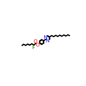 CCCCCCCCCCc1cnc(-c2ccc(OC(=O)C(F)CCCCCC)cc2)nc1